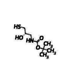 CC(C)(C)OC(=O)NC[C@H](O)CS